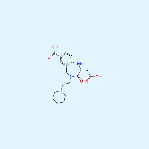 O=C(O)CC1Nc2ccc(C(=O)O)cc2CN(CCC2CCCCC2)C1=O